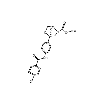 CC(C)(C)OC(=O)N1CC2(c3ccc(NC(=O)c4ccc(Cl)cc4)cc3)CCC1CO2